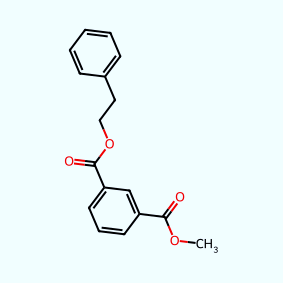 COC(=O)c1cccc(C(=O)OCCc2ccccc2)c1